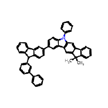 CC1(C)c2ccccc2-c2cc3c(cc21)c1cc(-c2ccc4c(c2)-c2ccccc2C4c2cccc(-c4ccccc4)c2)ccc1n3-c1ccccc1